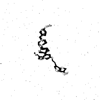 C=NCc1cnn2cc(OCCC3COC4C(O)COC34)cc(-c3ccc(N4CCN(Cc5ccc(OC)nc5)CC4)nc3)c12